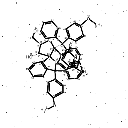 COc1ccc(C(O[C@]2(F)[C@H](O)[C@@H](CO)O[C@]2(n2ccc(N)nc2=O)C(c2ccccc2)(c2ccccc2)c2ccc(OC)cc2)(c2ccccc2)c2ccccc2)cc1